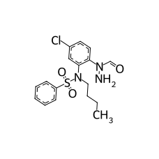 CCCCN(c1cc(Cl)ccc1N(N)C=O)S(=O)(=O)c1ccccc1